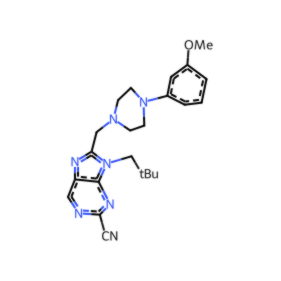 COc1cccc(N2CCN(Cc3nc4cnc(C#N)nc4n3CC(C)(C)C)CC2)c1